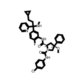 CNC(CCC1CC1)(c1ccc(F)c(NC(=O)[C@H]2C[C@](OC)(c3ccccc3)CN2C(=O)Nc2ccc(Cl)cc2)c1)c1ccccn1